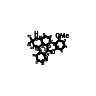 COc1cccc2c1-c1ccc3c(c1C(c1ccccn1)O2)C(C)=CC(C)(C)N3